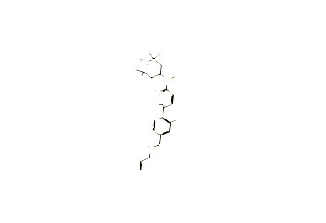 C=CCNC(=O)c1ccc(-c2ccc(N(C)C3CC(C)(C)N(C)C(C)(C)C3)nn2)c(O)c1